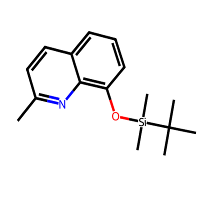 Cc1ccc2cccc(O[Si](C)(C)C(C)(C)C)c2n1